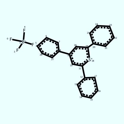 F[B-](F)(F)F.c1ccc(-c2cc(-c3ccccc3)[s+]c(-c3ccccc3)c2)cc1